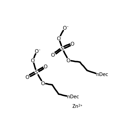 CCCCCCCCCCCCOS(=O)(=O)O[O-].CCCCCCCCCCCCOS(=O)(=O)O[O-].[Zn+2]